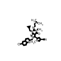 CN(C)CCN=c1n(C)c(=O)c2c(-c3cc(C#N)cn3C)n(Cc3ccc4cc(Cl)ccc4n3)nc2n1CC1CC1